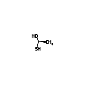 C[C@H](O)S